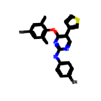 Cc1cc(C#N)cc(C)c1Oc1nc(Nc2ccc(C#N)cc2)ncc1-c1ccsc1